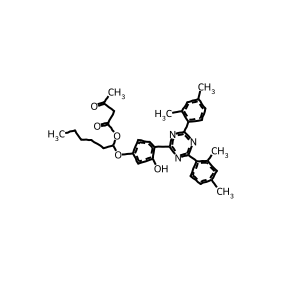 CCCCCC(OC(=O)CC(C)=O)Oc1ccc(-c2nc(-c3ccc(C)cc3C)nc(-c3ccc(C)cc3C)n2)c(O)c1